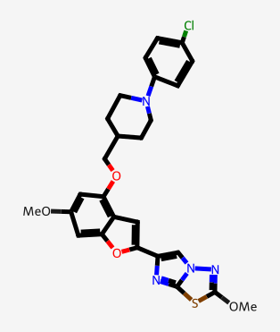 COc1cc(OCC2CCN(c3ccc(Cl)cc3)CC2)c2cc(-c3cn4nc(OC)sc4n3)oc2c1